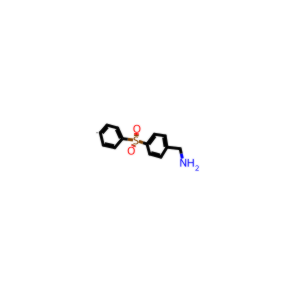 NCc1ccc(S(=O)(=O)c2cc[c]cc2)cc1